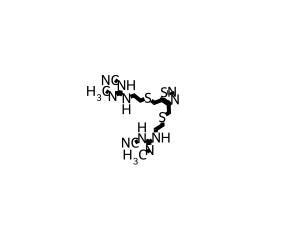 CN=C(NC#N)NCCSCc1nnsc1CSCCNC(=NC)NC#N